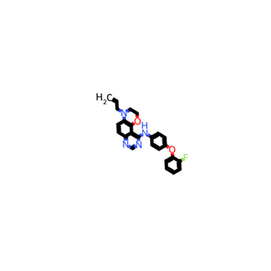 C=CCN1CCOc2c1ccc1ncnc(Nc3ccc(Oc4ccccc4F)cc3)c21